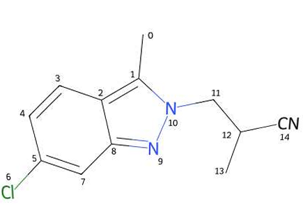 Cc1c2ccc(Cl)cc2nn1CC(C)C#N